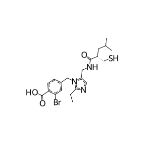 CCc1ncc(CNC(=O)[C@@H](CS)CC(C)C)n1Cc1ccc(C(=O)O)c(Br)c1